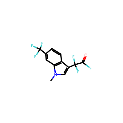 Cn1cc(C(F)(F)C(=O)F)c2ccc(C(F)(F)F)cc21